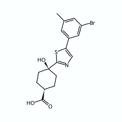 Cc1cc(Br)cc(-c2cnc([C@]3(O)CC[C@@H](C(=O)O)CC3)s2)c1